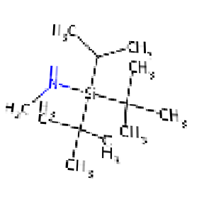 CN[Si](C(C)C)(C(C)(C)C)C(C)(C)C